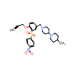 C#CCOc1ccc(CN2CCC(N3CCC(C)CC3)CC2)cc1S(=O)(=O)c1ccc([N+](=O)[O-])cc1